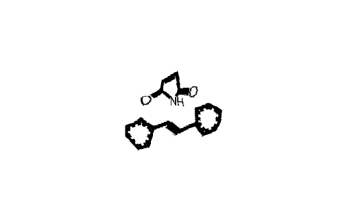 C(=Cc1ccccc1)c1ccccc1.O=C1C=CC(=O)N1